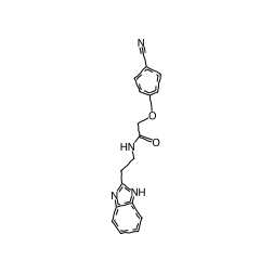 N#Cc1ccc(OCC(=O)NCCc2nc3ccccc3[nH]2)cc1